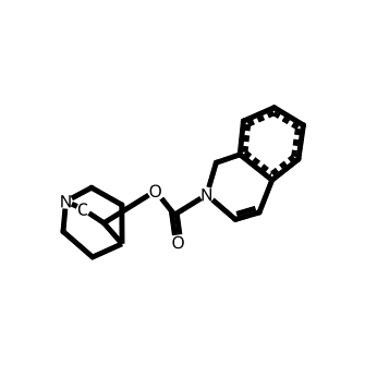 O=C(OC1CN2CCC1CC2)N1C=Cc2ccccc2C1